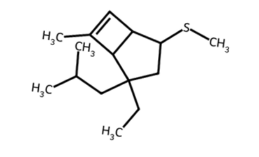 CCC1(CC(C)C)CC(SC)C2C=C(C)C21